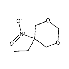 CCC1([N+](=O)[O-])COCOC1